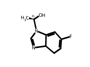 C[C@@H](O)N1C=NC2CC=C(F)C=C21